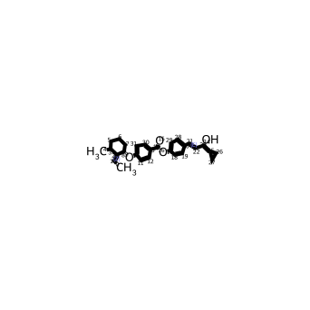 C/C=C1/C(C)CCCC1Oc1ccc(C(=O)Oc2ccc(/C=C/C(O)=C3CC3)cc2)cc1